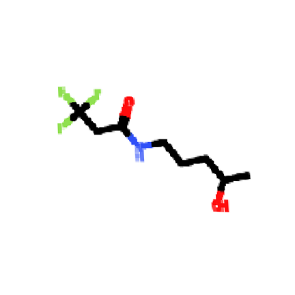 CC(O)CCCNC(=O)CC(F)(F)F